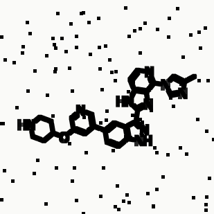 Cc1cn(-c2nccc3[nH]c(-c4n[nH]c5ccc(-c6cncc(OC7CCNCC7)c6)cc45)nc23)cn1